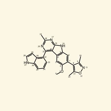 COc1cc2c(cc1-c1c(C)noc1C)[nH]c1nc(C)nc(-c3cccc4[nH]ccc34)c12